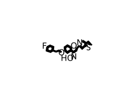 O/N=c1/cc(-c2cc3sccc3cn2)oc2ccc(OCCc3ccc(F)cc3)cc12